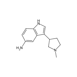 CN1CCC(c2c[nH]c3ccc(N)cc23)C1